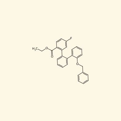 CCOC(=O)c1ccc(F)cc1-c1ccccc1-c1ccccc1OCc1ccccc1